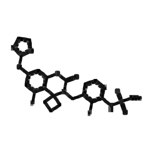 CNS(=O)(=O)Nc1nccc(CN2C(=O)Oc3cc(Oc4ncco4)cc(F)c3C23CCC3)c1F